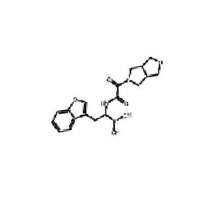 O=C(NC(Cc1coc2ccccc12)B(O)O)C(=O)N1CC2COCC2C1